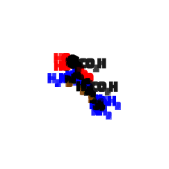 Cc1c(N)nc(SCC2=C(C(=O)O)N3C(=O)C(NC(=O)/C(=N\O[C@H](C(=O)O)c4ccc(O)c(O)c4)c4csc(N)n4)[C@@H]3SC2)nc1N